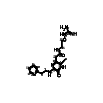 Cc1[nH]c(=O)c(NCCc2ccccn2)nc1CC(=O)NCCONC(=N)N